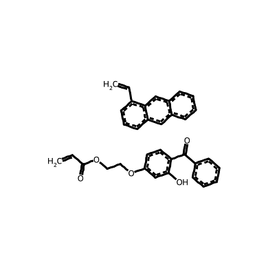 C=CC(=O)OCCOc1ccc(C(=O)c2ccccc2)c(O)c1.C=Cc1cccc2cc3ccccc3cc12